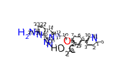 Cc1ccc(-c2ccc(OC/C=C/[C@H](C)n3cnnc3-c3cccc(N)n3)c(C(=O)O)c2)cn1